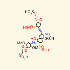 COc1cc(S(=O)(=O)CCOS(=O)(=O)O)c(OC)cc1N=Nc1c(SOOO)cc2c(S(=O)(=O)O)c(N)c(N=Nc3ccc(S(=O)(=O)CCOS(=O)(=O)O)cc3SOOO)cc2c1O